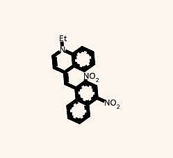 CCN1C=C/C(=C/c2c([N+](=O)[O-])cc([N+](=O)[O-])c3ccccc23)c2ccccc21